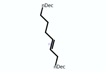 CCCCCCCCCCC/C=C/CCCCCCCCCCCCC